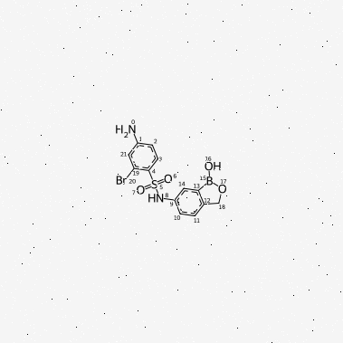 Nc1ccc(S(=O)(=O)Nc2ccc3c(c2)B(O)OC3)c(Br)c1